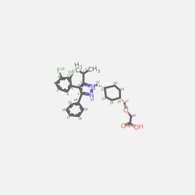 CC(C)c1c(-c2cccc(F)c2F)c(-c2ccccc2)nn1C[C@H]1CC[C@@H](COCC(=O)O)CC1